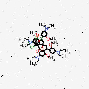 CCN(CC)c1ccc(C(=CC2(C=C(c3ccc(N(CC)CC)cc3OC)c3ccc(N(CC)CC)cc3OC)OC(=O)c3c(Cl)c(Cl)c(Cl)c(Cl)c32)c2ccc(N(CC)CC)cc2OC)c(OC)c1